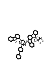 CC1(C)c2ccccc2-c2ccc3c(c21)c1ccccc1n3-c1cc(-c2cccc3c2sc2ccccc23)nc(-c2ccc(-c3ccccc3)cc2)n1